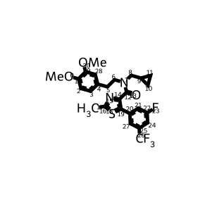 COc1ccc(CCN(CC2CC2)C(=O)c2nc(C)sc2-c2cc(F)cc(C(F)(F)F)c2)cc1OC